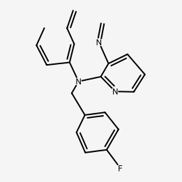 C=C/C=C(\C=C/C)N(Cc1ccc(F)cc1)c1ncccc1N=C